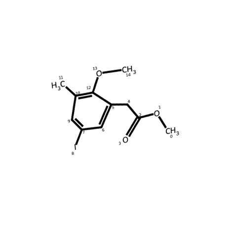 COC(=O)Cc1cc(I)cc(C)c1OC